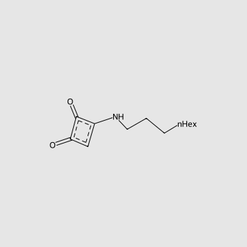 CCCCCCCCCNc1cc(=O)c1=O